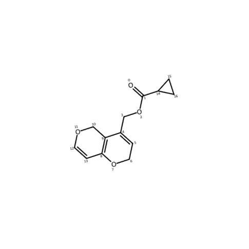 O=C(OCC1=CCOC2=C1COC=C2)C1CC1